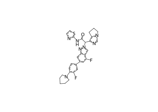 O=C(Nc1nccs1)C(c1ncn2c1CCC2)n1cc2c(F)cc(-c3ccc(N4CCCCC4)c(F)c3)cc2n1